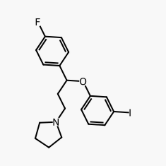 Fc1ccc(C(CCN2CCCC2)Oc2cccc(I)c2)cc1